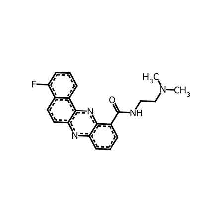 CN(C)CCNC(=O)c1cccc2nc3ccc4c(F)cccc4c3nc12